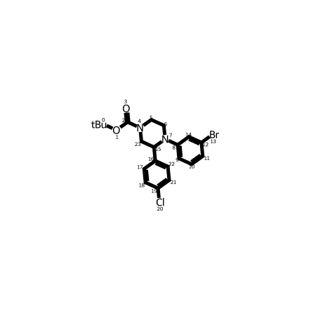 CC(C)(C)OC(=O)N1CCN(c2cccc(Br)c2)C(c2ccc(Cl)cc2)C1